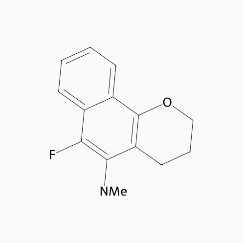 CNc1c2c(c3ccccc3c1F)OCCC2